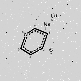 [Cu].[Na].[S].c1ccncc1